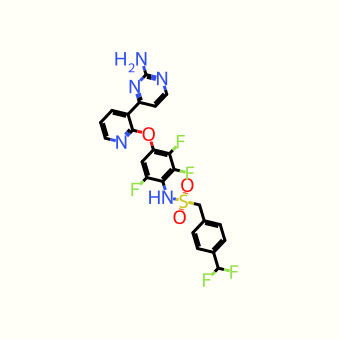 Nc1nccc(-c2cccnc2Oc2cc(F)c(NS(=O)(=O)Cc3ccc(C(F)F)cc3)c(F)c2F)n1